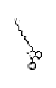 CCCCCCCCCCCC(O)c1ccccc1C(=O)c1ccccc1